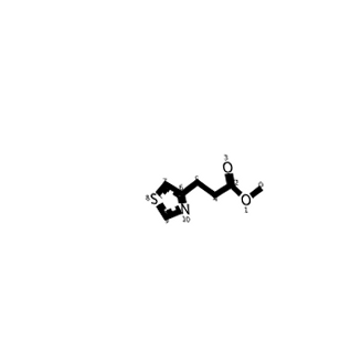 COC(=O)CCc1cscn1